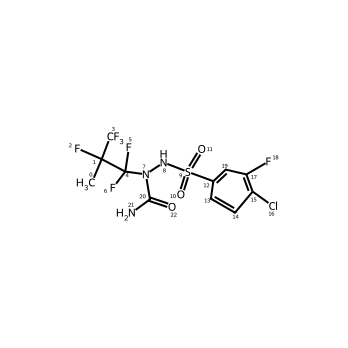 CC(F)(C(F)(F)F)C(F)(F)N(NS(=O)(=O)c1ccc(Cl)c(F)c1)C(N)=O